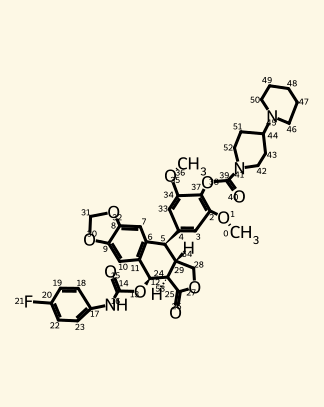 COc1cc([C@@H]2c3cc4c(cc3[C@H](OC(=O)Nc3ccc(F)cc3)[C@@H]3C(=O)OC[C@@H]23)OCO4)cc(OC)c1OC(=O)N1CCC(N2CCCCC2)CC1